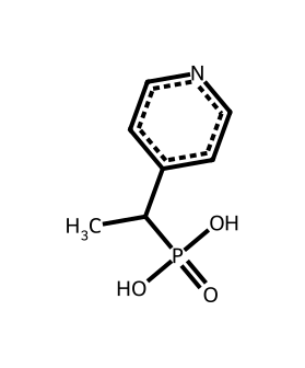 CC(c1ccncc1)P(=O)(O)O